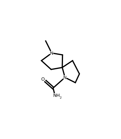 CN1CCC2(CCCN2C(N)=O)C1